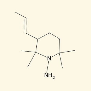 CC=CC1CCC(C)(C)N(N)C1(C)C